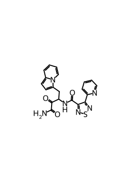 NC(=O)C(=O)C(Cc1ccc2ccccn12)NC(=O)c1nsnc1-c1ccccn1